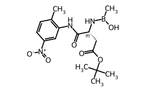 CB(O)N[C@H](CC(=O)OC(C)(C)C)C(=O)Nc1cc([N+](=O)[O-])ccc1C